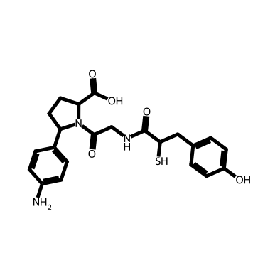 Nc1ccc(C2CCC(C(=O)O)N2C(=O)CNC(=O)C(S)Cc2ccc(O)cc2)cc1